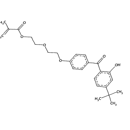 C=C(C)C(=O)OCCOCCOc1ccc(C(=O)c2ccc(C(C)(C)C)cc2O)cc1